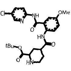 COc1ccc(NC(=O)C2CCNC(C(=O)OC(C)(C)C)C2)c(C(=O)Nc2ccc(Cl)cn2)c1